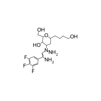 N/C(=C\N(N)C1CC(CCCCO)OC(CO)C1O)c1cc(F)c(F)c(F)c1